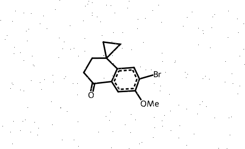 COc1cc2c(cc1Br)C1(CCC2=O)CC1